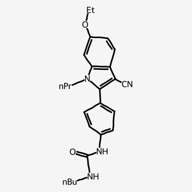 CCCCNC(=O)Nc1ccc(-c2c(C#N)c3ccc(OCC)cc3n2CCC)cc1